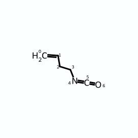 C=CCCN=C=O